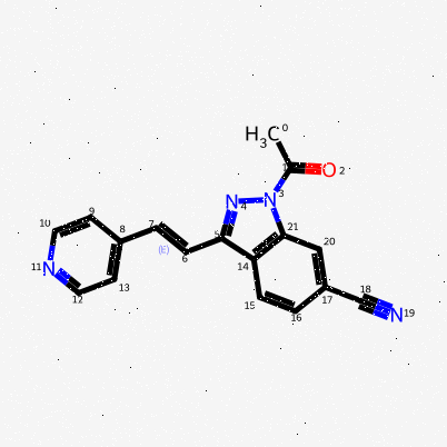 CC(=O)n1nc(/C=C/c2ccncc2)c2ccc(C#N)cc21